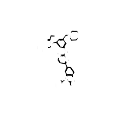 CCN1C(=O)COc2c(CN3CCOCC3)cc(Nc3nccc(-c4ccc5nc(C)n(C(C)C)c5c4)n3)cc21